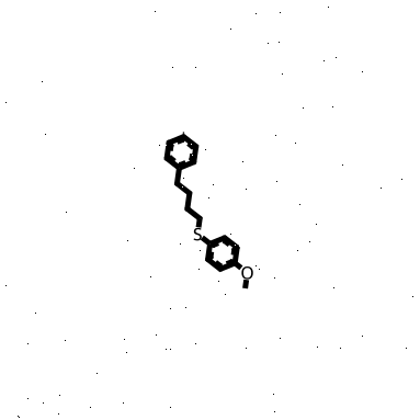 COc1ccc(SCCCCc2cc[c]cc2)cc1